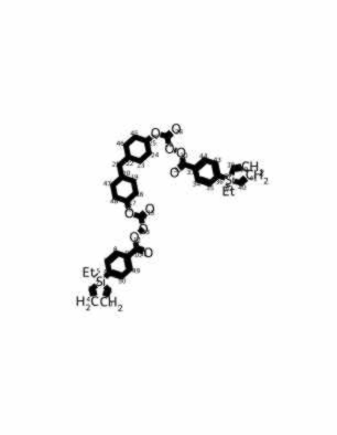 C=C[Si](C=C)(CC)c1ccc(C(=O)OOC(=O)OC2CCC(CC3CCC(OC(=O)OOC(=O)c4ccc([Si](C=C)(C=C)CC)cc4)CC3)CC2)cc1